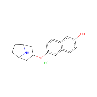 Cl.Oc1ccc2cc(OC3CC4CCC(C3)N4)ccc2c1